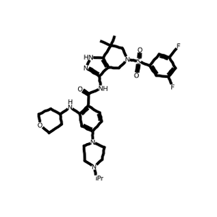 CC(C)N1CCN(c2ccc(C(=O)Nc3n[nH]c4c3CN(S(=O)(=O)c3cc(F)cc(F)c3)CC4(C)C)c(NC3CCOCC3)c2)CC1